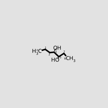 CCC[C@H](O)[C@@H](O)CC